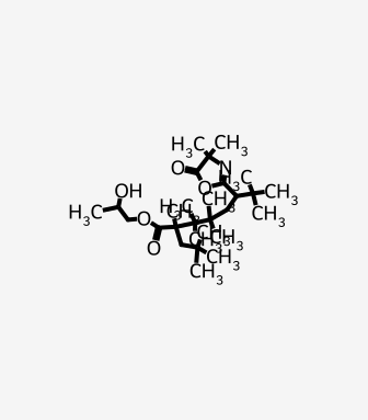 CC(O)COC(=O)C(C)(CC(C)(C)C)C(C)(C)C(C)(C)CC(C1=NC(C)(C)C(=O)O1)C(C)(C)C